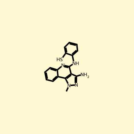 Cn1nc(N)c2c(Nc3ccccc3S)nc3ccccc3c21